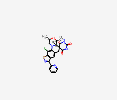 C[C@@H]1CN2c3c(cc4c(-c5ccccn5)nsc4c3F)CC3(C(=O)NC(=O)NC3=O)[C@H]2[C@H](C)O1